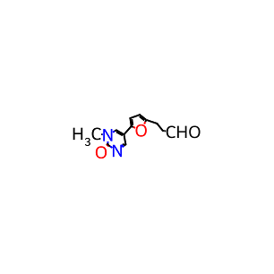 Cn1cc(-c2ccc(CCC=O)o2)cnc1=O